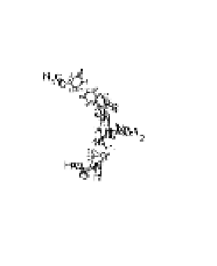 COc1cccc(-c2ccc([C@@H](Oc3cc(N4CCC5(CC4)CN[C@H](C(=O)O)C5)nc(N)n3)C(F)(F)F)cc2)c1